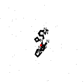 N#Cc1ccc(N2C3CCC2CN(C(=O)CCN(Cc2cccc4ncnn24)C2CCC2)C3)nc1